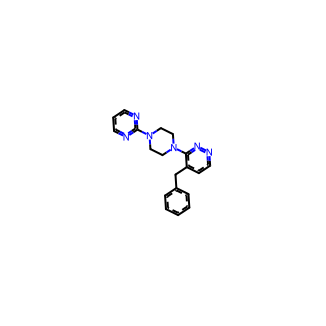 c1ccc(Cc2ccnnc2N2CCN(c3ncccn3)CC2)cc1